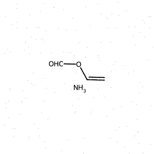 C=COC=O.N